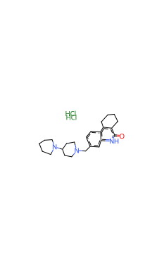 Cl.Cl.O=c1[nH]c2cc(CN3CCC(N4CCCCC4)CC3)ccc2c2c1CCCC2